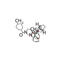 Cc1nc2ccccc2n1[C@H]1C[C@H]2CC[C@@H](C1)N2CCC1(c2ccccc2)CCN(C(=O)C2CCC(C)CC2)CC1